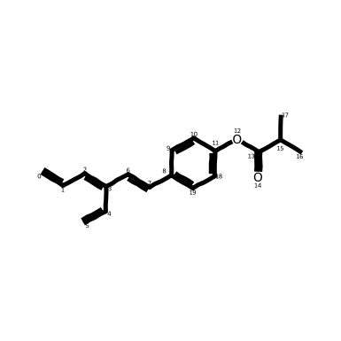 C=C/C=C(C=C)/C=C/c1ccc(OC(=O)C(C)C)cc1